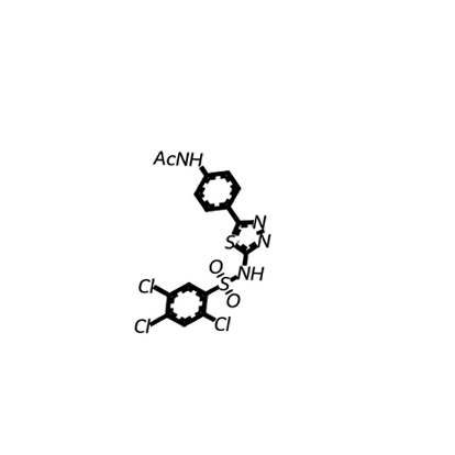 CC(=O)Nc1ccc(-c2nnc(NS(=O)(=O)c3cc(Cl)c(Cl)cc3Cl)s2)cc1